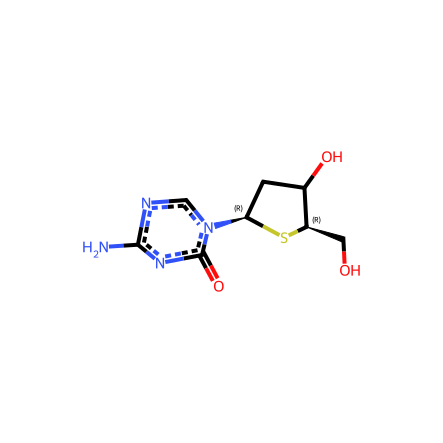 Nc1ncn([C@H]2CC(O)[C@@H](CO)S2)c(=O)n1